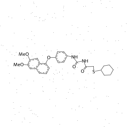 COc1cc2cccc(Oc3ccc(NC(=O)NC(=O)CSC4CCCCC4)cc3)c2cc1OC